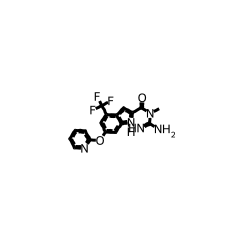 CN(C(=N)N)C(=O)c1cc2c(C(F)(F)F)cc(Oc3ccccn3)cc2[nH]1